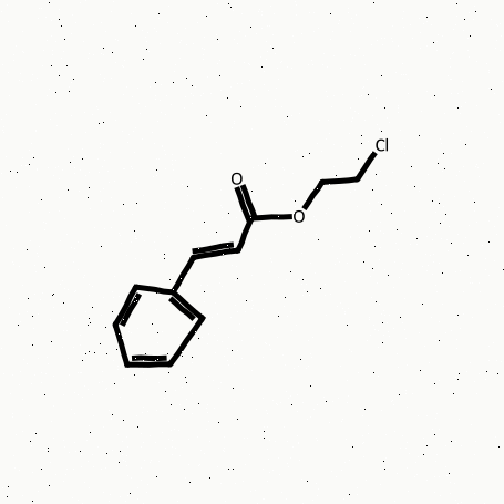 O=C(C=Cc1ccccc1)OCCCl